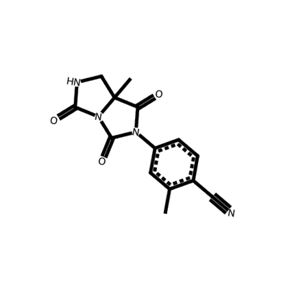 Cc1cc(N2C(=O)N3C(=O)NCC3(C)C2=O)ccc1C#N